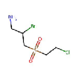 NCC(Br)CS(=O)(=O)CCCl